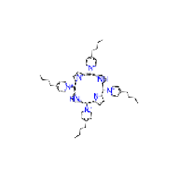 CCCCc1cc[n+](-c2c3nc(c(-[n+]4ccc(CCCC)cc4)c4ccc([nH]4)c(-[n+]4ccc(CCCC)cc4)c4nc(c(-[n+]5ccc(CCCC)cc5)c5ccc2[nH]5)C=C4)C=C3)cc1